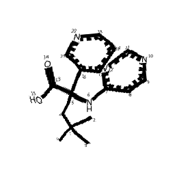 CC(C)(C)CC(Nc1ccncn1)(C(=O)O)c1cccnc1